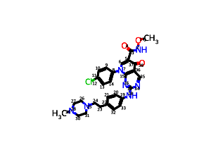 CONC(=O)c1cn(-c2ccc(Cl)cc2)c2nc(Nc3ccc(CCN4CCN(C)CC4)cc3)ncc2c1=O